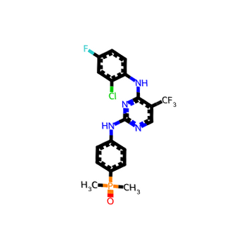 CP(C)(=O)c1ccc(Nc2ncc(C(F)(F)F)c(Nc3ccc(F)cc3Cl)n2)cc1